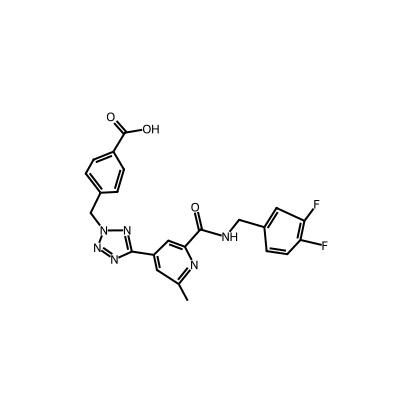 Cc1cc(-c2nnn(Cc3ccc(C(=O)O)cc3)n2)cc(C(=O)NCc2ccc(F)c(F)c2)n1